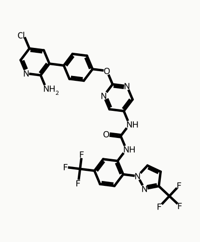 Nc1ncc(Cl)cc1-c1ccc(Oc2ncc(NC(=O)Nc3cc(C(F)(F)F)ccc3-n3ccc(C(F)(F)F)n3)cn2)cc1